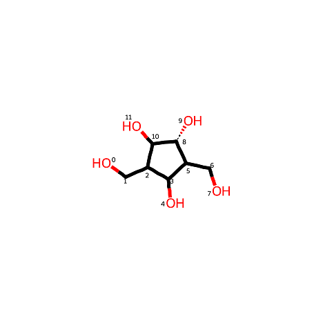 OCC1C(O)C(CO)[C@@H](O)C1O